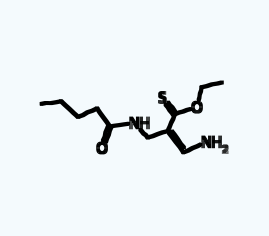 CCCCC(=O)NCC(=CN)C(=S)OCC